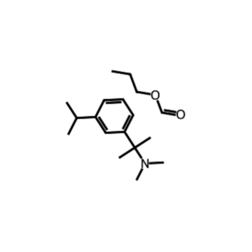 CC(C)c1cccc(C(C)(C)N(C)C)c1.CCCOC=O